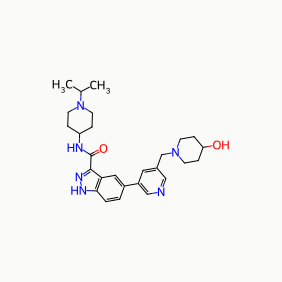 CC(C)N1CCC(NC(=O)c2n[nH]c3ccc(-c4cncc(CN5CCC(O)CC5)c4)cc23)CC1